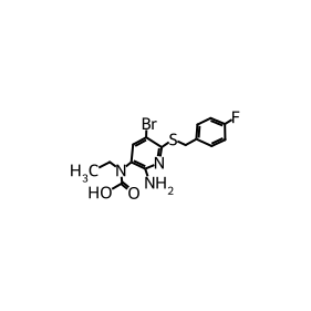 CCN(C(=O)O)c1cc(Br)c(SCc2ccc(F)cc2)nc1N